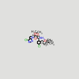 CC1(C)O[C@H]2[C@@H](O1)[C@H](n1ccc3c(Cl)ncnc31)O[C@@H]2[C@H](N)c1ccc(Cl)cc1CCO[Si](C)(C)C(C)(C)C